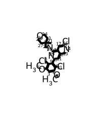 COc1cc(OC)c(Cl)c(-c2cc3cnc(Cl)cc3c(N3CC4(CCOCC4)C3)n2)c1Cl